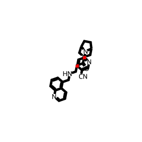 N#Cc1ccc(N2C3CCC2CN(C(=O)CCNCc2cccc4ncccc24)C3)nc1